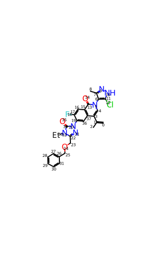 C=C(C)c1cn(-c2c(C)n[nH]c2Cl)c(=O)c2cc(F)c(-n3nc(COCc4ccccc4)n(CC)c3=O)cc12